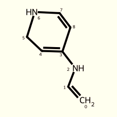 C=CNC1=CCNC=C1